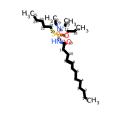 CCCCCCCCC=CCCC(=O)NP(OCCC)(SCCCCC)=[N+](CC)CC